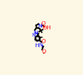 COCCNC(=O)c1ccc2nn(CC3CCN(C(=O)O)C3C(C)(C)C)cc2c1C